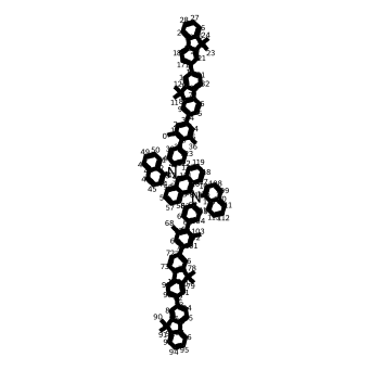 Cc1cc(-c2ccc3c(c2)C(C)(C)c2cc(-c4ccc5c(c4)C(C)(C)c4ccccc4-5)ccc2-3)cc(C)c1-c1ccc(N(c2cccc3ccccc23)c2c3ccccc3c(N(c3ccc(-c4c(C)cc(-c5ccc6c(c5)C(C)(C)c5cc(-c7ccc8c(c7)C(C)(C)c7ccccc7-8)ccc5-6)cc4C)cc3)c3cccc4ccccc34)c3ccccc23)cc1